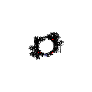 CN[C@@H](C)C(=O)N[C@H](C(=O)N1C[C@@H]2C[C@H]1C(=O)N[C@@H](Cc1ccc3ccccc3c1)C(=O)N[C@H](C(=O)NS(=O)(=O)C1CC1)Cc1ccc(cc1)OCc1cn(nn1)[C@H]1C[C@@H](C(=O)N[C@@H](Cc3ccc4ccccc4c3)C(=O)N[C@H](C(=O)O)Cc3ccc(cc3)OC/C=C/CO2)N(C(=O)[C@@H](NC(=O)[C@H](C)NC)C(C)(C)C)C1)C1CCOCC1